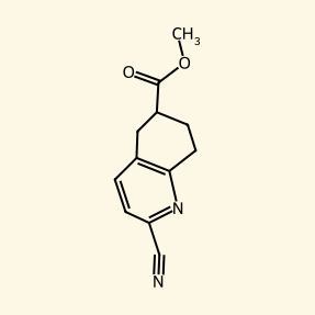 COC(=O)C1CCc2nc(C#N)ccc2C1